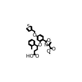 COC(=O)c1coc(-c2ccc(OCc3ccsc3)cc2OC(CCC(=O)O)c2ccccc2C)n1